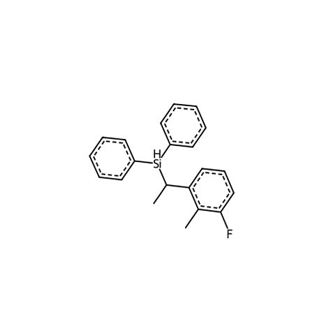 Cc1c(F)cccc1C(C)[SiH](c1ccccc1)c1ccccc1